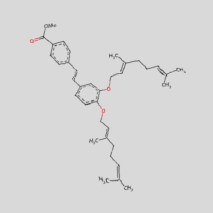 COC(=O)c1ccc(/C=C/c2ccc(OC/C=C(\C)CCC=C(C)C)c(OC/C=C(\C)CCC=C(C)C)c2)cc1